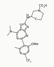 COc1cc(C(F)(F)F)cc(C)c1-c1cc(N(C)C)c2oc(N[C@@H]3CCCN(C(=O)O)C3)nc2n1